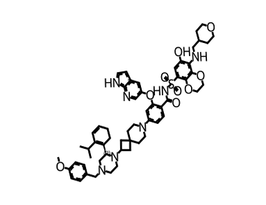 COc1ccc(CN2CCN(C3CC4(CCN(c5ccc(C(=O)NS(=O)(=O)c6cc(O)c(NCC7CCOCC7)c7c6OCCO7)c(Oc6cnc7[nH]ccc7c6)c5)CC4)C3)[C@H](C3=C(C(C)C)C=CCC3)C2)cc1